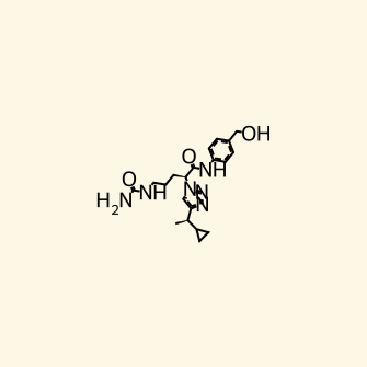 C[C@@H](c1cn([C@@H](CCCNC(N)=O)C(=O)Nc2ccc(CO)cc2)nn1)C1CC1